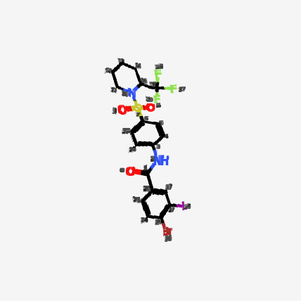 O=C(Nc1ccc(S(=O)(=O)N2CCCCC2C(F)(F)F)cc1)c1ccc(Br)c(I)c1